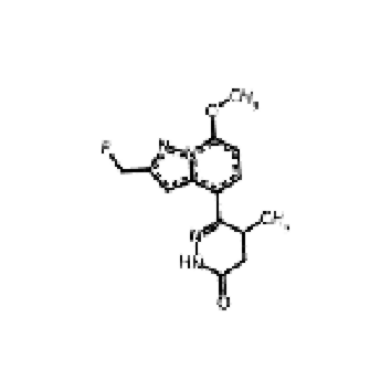 COc1ccc(C2=NNC(=O)CC2C)c2cc(CF)nn12